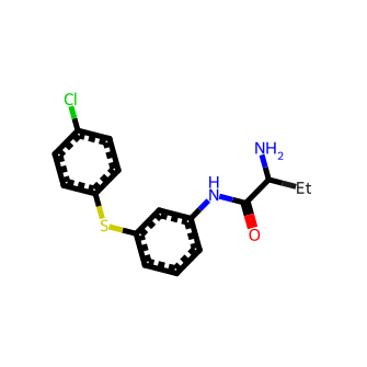 CCC(N)C(=O)Nc1cccc(Sc2ccc(Cl)cc2)c1